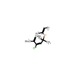 C=C(OC)/C(Cl)=C\C(C)(C)S/C(=C\CC)C(C)=O